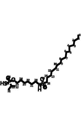 CCCCCCCCCCCCCCCCS(=O)(=O)NCCCCCCOP(=O)(S)C(C)C